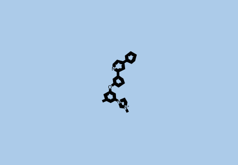 Cc1cc(Oc2cccc(-c3cc(-c4ccccc4)ccn3)c2)cc(-n2cc[n+](C)c2)c1